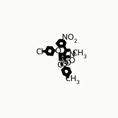 Cc1ccc(S(=O)(=O)n2ccc3c(-c4cc([N+](=O)[O-])ccc4Oc4ccc(Cl)cc4)cn(C)c(=O)c32)cc1